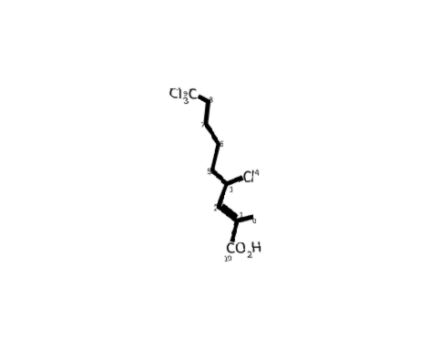 CC(=CC(Cl)CCCCC(Cl)(Cl)Cl)C(=O)O